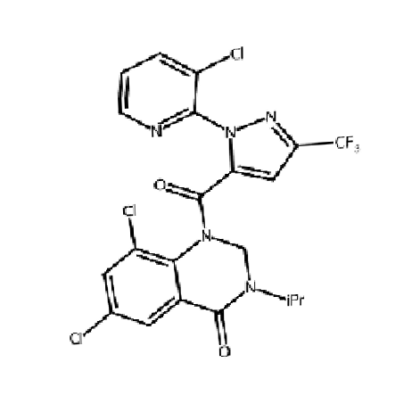 CC(C)N1CN(C(=O)c2cc(C(F)(F)F)nn2-c2ncccc2Cl)c2c(Cl)cc(Cl)cc2C1=O